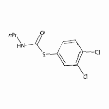 CCCNC(=O)Sc1ccc(Cl)c(Cl)c1